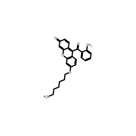 Cc1ccccc1C(=O)c1c2ccc(=O)cc-2oc2cc(OCCCCCCN)ccc12